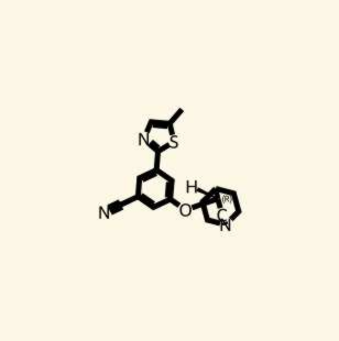 Cc1cnc(-c2cc(C#N)cc(O[C@H]3CN4CCC3CC4)c2)s1